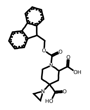 O=C(O)C1CC(C(=O)O)(N2CC2)CCN1C(=O)OCC1c2ccccc2-c2ccccc21